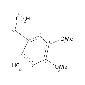 COc1ccc(CC(=O)O)cc1OC.Cl